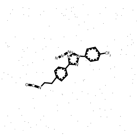 O=C=NCCc1ccc(-c2ncn(-c3ccc(C(F)(F)F)cc3)n2)cc1.[N-]=[N+]=N